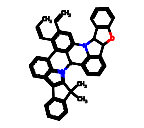 C=Cc1cc2c3c(c1/C=C\C)-c1cccc4c5c(n(c14)B3c1cccc3c1N2C1C2=C(C=C=C=C2)OC31)C(C)(C)c1ccccc1-5